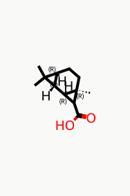 CC1(C)[C@@H]2[C@H]1CC[C@@]1(C)C(C(=O)O)[C@@H]21